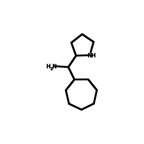 NC(C1CCCCCC1)C1CCCN1